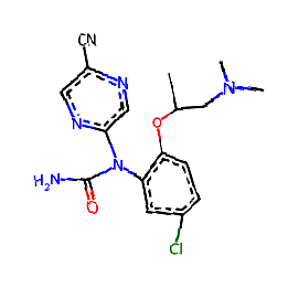 CC(CN(C)C)Oc1ccc(Cl)cc1N(C(N)=O)c1cnc(C#N)cn1